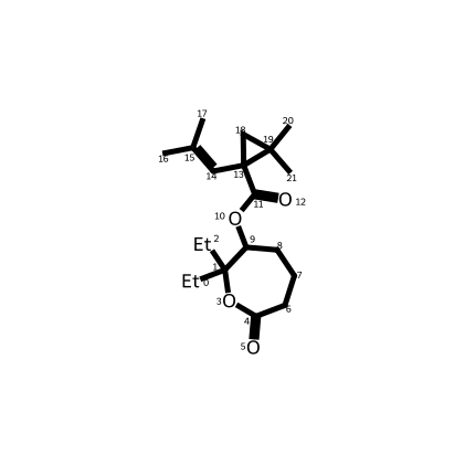 CCC1(CC)OC(=O)CCCC1OC(=O)C1(C=C(C)C)CC1(C)C